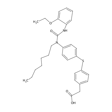 CCCCCCCN(C(=O)Nc1ccccc1OCC)c1ccc(Sc2ccc(CC(=O)O)cc2)cc1